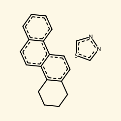 c1ccc2c(c1)ccc1c3c(ccc12)CCCC3.c1nncs1